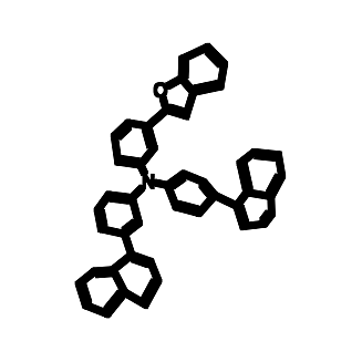 c1cc(-c2cc3ccccc3o2)cc(N(c2ccc(-c3cccc4ccccc34)cc2)c2cccc(-c3cccc4ccccc34)c2)c1